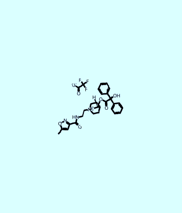 Cc1cc(C(=O)NCC[N+]23CCC(CC2)[C@@H](OC(=O)C(O)(c2ccccc2)c2ccccc2)C3)no1.O=C([O-])C(F)(F)F